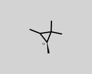 CC1[C@H](C)C1(C)C